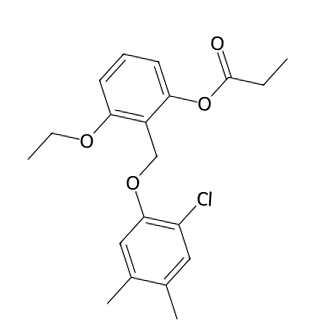 CCOc1cccc(OC(=O)CC)c1COc1cc(C)c(C)cc1Cl